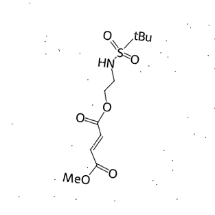 COC(=O)/C=C/C(=O)OCCNS(=O)(=O)C(C)(C)C